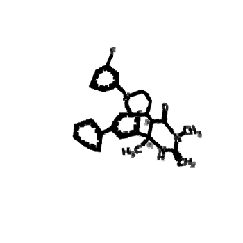 C=C1N[C@](C)(c2cc(-c3ccccc3)cs2)[C@@H](C2CCN(c3cccc(F)c3)CC2)C(=O)N1C